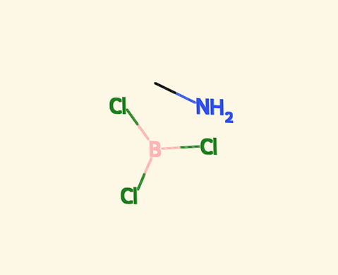 CN.ClB(Cl)Cl